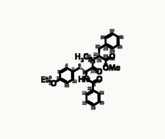 CCOc1ccc(C[C@@H](NC(=O)c2ccccc2)C(=O)N(C)[C@@H](Cc2ccccc2)C(=O)OC)cc1